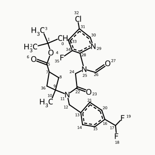 CC(C)(C)OC(=O)C1CC(C)(N(Cc2ccc(C(F)F)cc2)C(=O)CN(C=O)c2ncc(Cl)cc2F)C1